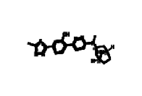 Cc1nnc(-c2ccc(-c3ccc(N(C)[C@H]4C[C@H]5CC[C@@H](C4)N5)nn3)c(O)c2)s1